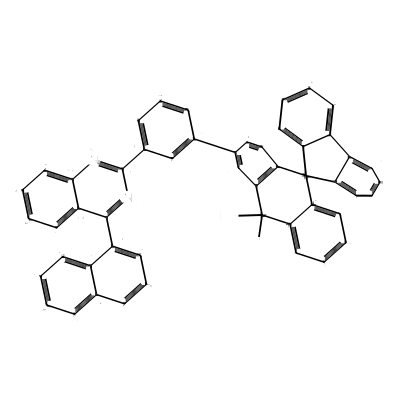 CC1(C)c2ccccc2C2(c3ccccc3-c3ccccc32)c2ccc(-c3cccc(-c4nc(-c5cccc6ccccc56)c5ccccc5n4)c3)cc21